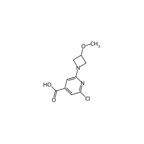 COC1CN(c2cc(C(=O)O)cc(Cl)n2)C1